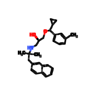 Cc1cccc(C(OC[C@H](O)CNC(C)(C)Cc2ccc3ccccc3c2)C2CC2)c1